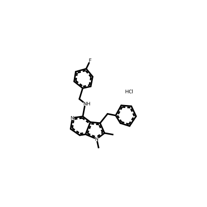 Cc1c(Cc2ccccc2)c2c(NCc3ccc(F)cc3)nccc2n1C.Cl